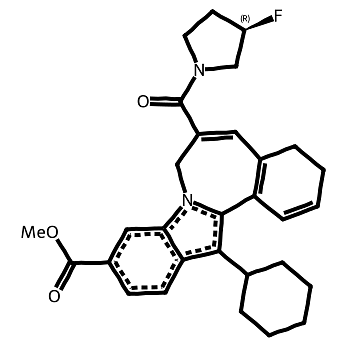 COC(=O)c1ccc2c(C3CCCCC3)c3n(c2c1)CC(C(=O)N1CC[C@@H](F)C1)=CC1=C3C=CCC1